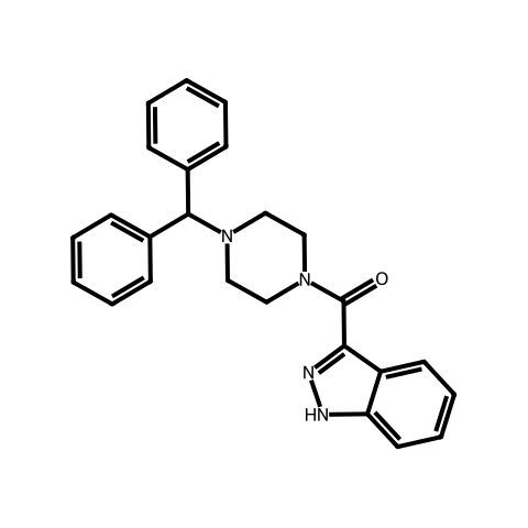 O=C(c1n[nH]c2ccccc12)N1CCN(C(c2ccccc2)c2ccccc2)CC1